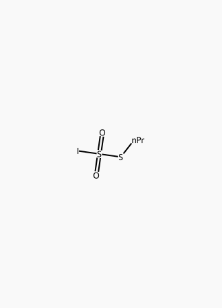 CCCSS(=O)(=O)I